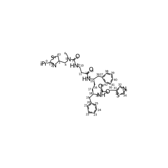 CC(C)C1=NC(CN(C)C(=O)NCCC(=O)N[C@H](CC[C@H](Cc2ccccc2)NC(=O)OCc2cncs2)Cc2ccccc2)CS1